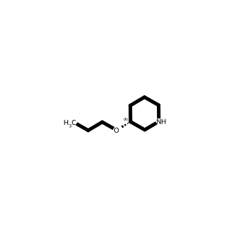 CCCO[C@@H]1CCCNC1